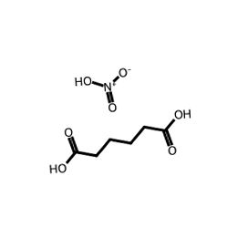 O=C(O)CCCCC(=O)O.O=[N+]([O-])O